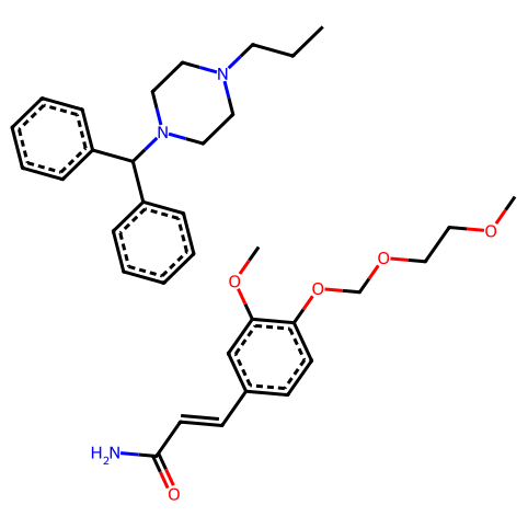 CCCN1CCN(C(c2ccccc2)c2ccccc2)CC1.COCCOCOc1ccc(C=CC(N)=O)cc1OC